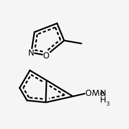 COc1c2cccc1-2.Cc1ccno1.N